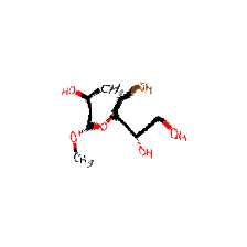 CO[C@@H](OC(CS)[C@@H](O)CO)[C@H](C)O